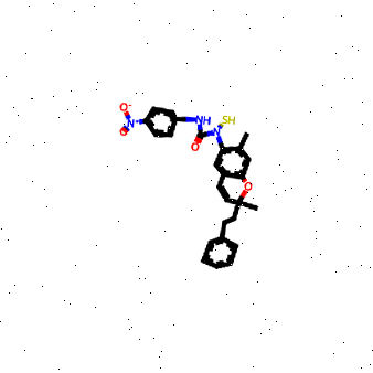 Cc1cc2c(cc1N(S)C(=O)Nc1ccc([N+](=O)[O-])cc1)C=CC(C)(CCc1ccccc1)O2